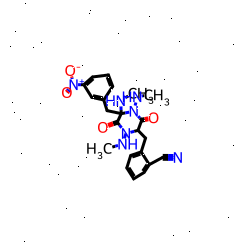 CNN1C(=O)C(Cc2cccc([N+](=O)[O-])c2)(NC)N(NC)C(=O)C1Cc1ccccc1C#N